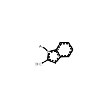 CC(=O)n1c(C=O)cc2ccccc21